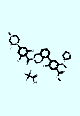 COC(=O)c1cc(F)c(-c2cccc3c2OCN(C(=O)c2c(Cl)cc(N4CCN(C)C[C@H]4C)cc2Cl)C3)cc1N(C)[C@@H]1CCOC1.O=C(O)C(F)(F)F